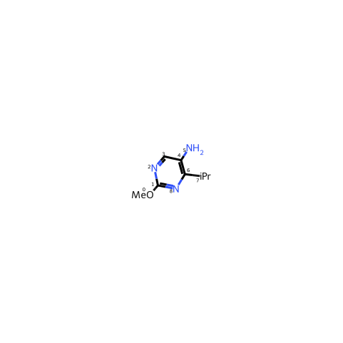 COc1ncc(N)c(C(C)C)n1